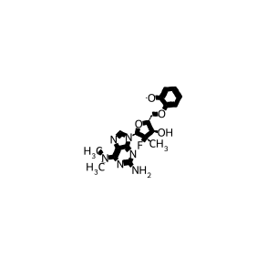 CN(C)c1nc(N)nc2c1ncn2[C@@H]1O[C@H](COc2ccccc2[O])[C@@H](O)[C@@]1(C)F